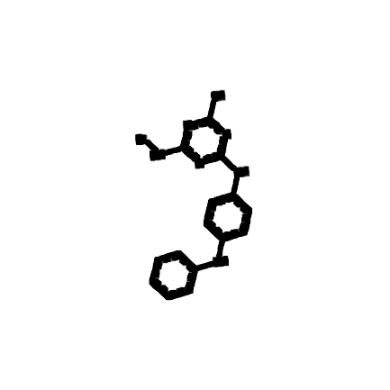 CCNc1nc(S)nc(Nc2ccc(Nc3ccccc3)cc2)n1